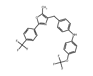 Cc1oc(-c2ccc(C(F)(F)F)cc2)nc1Cc1ccc(Nc2ccc(OC(F)(F)F)cc2)cc1